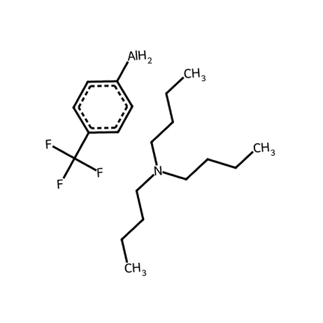 CCCCN(CCCC)CCCC.FC(F)(F)c1cc[c]([AlH2])cc1